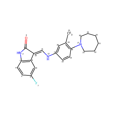 O=C1Nc2ccc(F)cc2C1=CNc1ccc(N2CCCCCC2)c(C(F)(F)F)c1